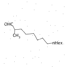 CCCCCCCCCCCCC(C)C=O